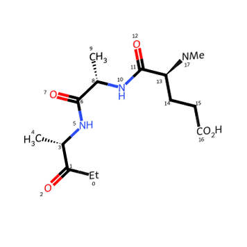 CCC(=O)[C@H](C)NC(=O)[C@H](C)NC(=O)[C@H](CCC(=O)O)NC